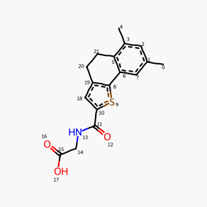 Cc1cc(C)c2c(c1)-c1sc(C(=O)NCC(=O)O)cc1CC2